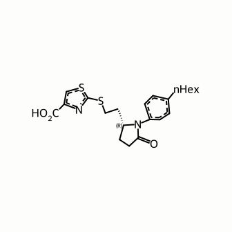 CCCCCCc1ccc(N2C(=O)CC[C@@H]2CCSc2nc(C(=O)O)cs2)cc1